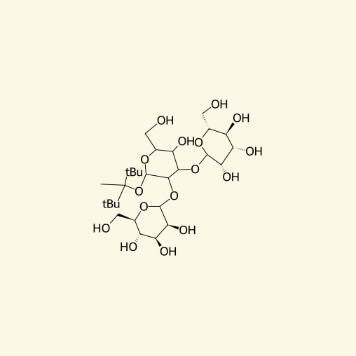 CC(C)(C)C(C)(OC1OC(CO)C(O)C(OC2O[C@H](CO)[C@@H](O)[C@H](O)[C@@H]2O)C1OC1O[C@H](CO)[C@@H](O)[C@H](O)[C@@H]1O)C(C)(C)C